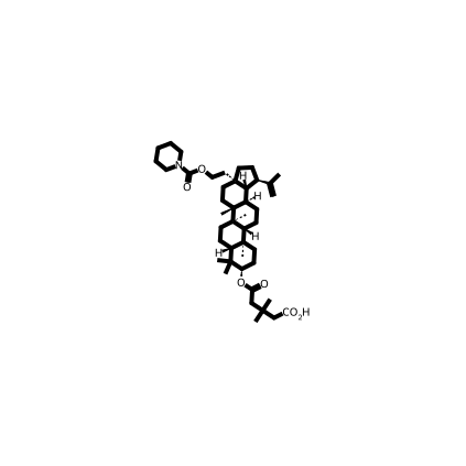 C=C(C)[C@@H]1CC[C@]2(CCOC(=O)N3CCCCC3)CC[C@]3(C)[C@H](CC[C@@H]4[C@@]5(C)CC[C@H](OC(=O)CC(C)(C)CC(=O)O)C(C)(C)[C@@H]5CC[C@]43C)[C@@H]12